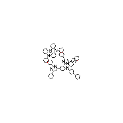 c1ccc(-c2ccc3c(c2)c2cc(-c4ccccc4)ccc2n3-c2ccc(-c3cc(-c4ccccc4)nc(-c4ccccc4)n3)cc2-c2nc(-c3ccccc3)cc(-c3cccc(-c4ccc5c6c4N(c4ccccc4)c4ccccc4B6c4ccccc4N5c4ccccc4)c3)n2)cc1